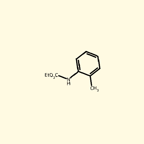 CCOC(=O)Nc1ccccc1C